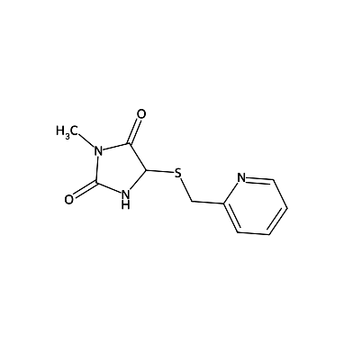 CN1C(=O)NC(SCc2ccccn2)C1=O